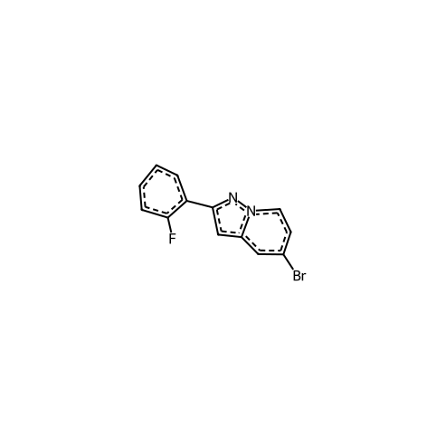 Fc1ccccc1-c1cc2cc(Br)ccn2n1